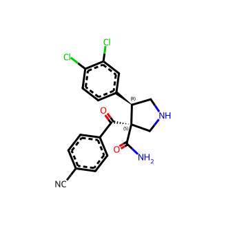 N#Cc1ccc(C(=O)[C@@]2(C(N)=O)CNC[C@@H]2c2ccc(Cl)c(Cl)c2)cc1